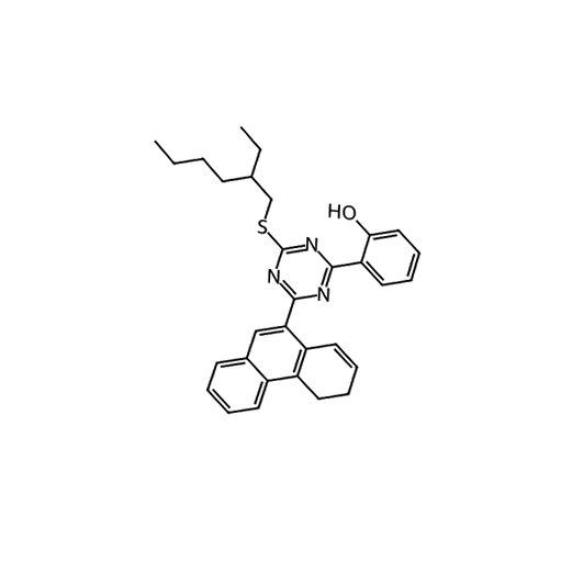 CCCCC(CC)CSc1nc(-c2ccccc2O)nc(-c2cc3ccccc3c3c2C=CCC3)n1